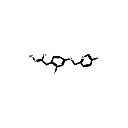 ON=C(Cl)Cc1ccc(OCc2ccc(F)cn2)cc1F